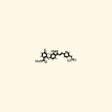 CCN(CC)Cc1ccc(/C=C/c2n[nH]c3cc(Sc4cc(F)ccc4C(=O)NC)ccc23)nc1